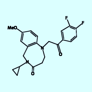 COc1ccc2c(c1)CN(C1CC1)C(=O)CCN2CC(=O)c1ccc(F)c(F)c1